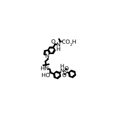 C[C@H](NC(=O)c1ccc2c(ccn2CCC(C)(C)NC[C@@H](O)c2cccc(NS(=O)(=O)c3ccccc3)c2)c1)C(=O)O